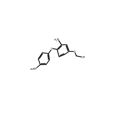 CC(=O)Nc1ccc(Sc2ccc(OCC#N)cc2N)cc1